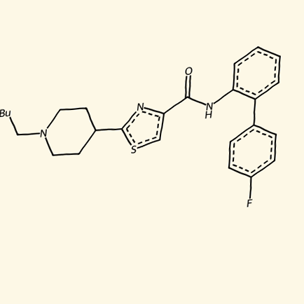 CCC(C)CN1CCC(c2nc(C(=O)Nc3ccccc3-c3ccc(F)cc3)cs2)CC1